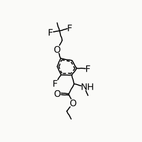 CCOC(=O)C(NC)c1c(F)cc(OCC(C)(F)F)cc1F